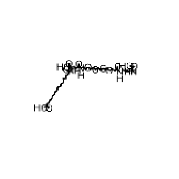 CN[C@@H](CCCCNC(=O)CCOCCOCCOCCOCCNC(=O)CC[C@H](NC(=O)CCCCCCCCCCCCCCCCC(=O)O)C(=O)O)C(=O)O